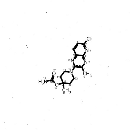 Cc1nc2nc(Cl)ccc2nc1N1CCC(C)(OC(N)=O)CC1